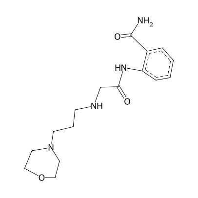 NC(=O)c1ccccc1NC(=O)CNCCCN1CCOCC1